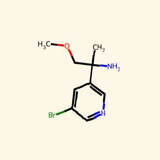 COCC(C)(N)c1cncc(Br)c1